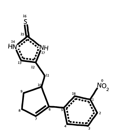 O=[N+]([O-])c1cccc(C2=CCCC2Cc2c[nH]c(=S)[nH]2)c1